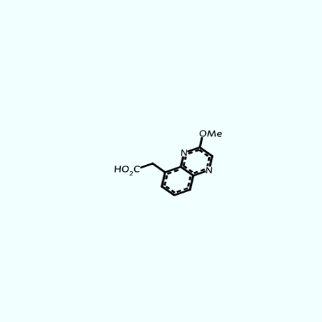 COc1cnc2cccc(CC(=O)O)c2n1